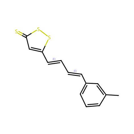 Cc1cccc(/C=C/C=C/c2cc(=S)ss2)c1